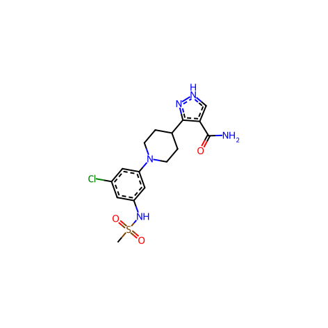 CS(=O)(=O)Nc1cc(Cl)cc(N2CCC(c3n[nH]cc3C(N)=O)CC2)c1